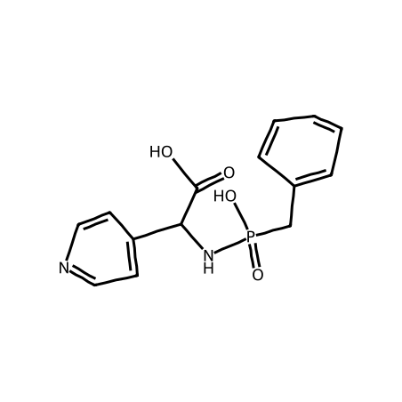 O=C(O)C(NP(=O)(O)Cc1ccccc1)c1ccncc1